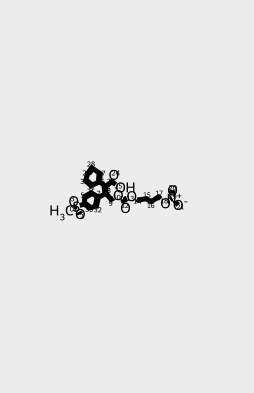 CS(=O)(=O)c1ccc(/C(COC(=O)OCCCCO[N+](=O)[O-])=C(/C(=O)O)c2ccccc2)cc1